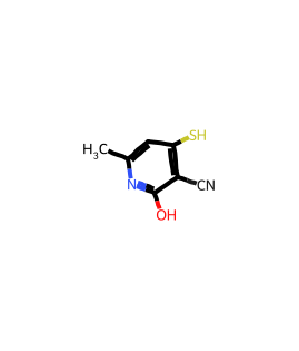 Cc1cc(S)c(C#N)c(O)n1